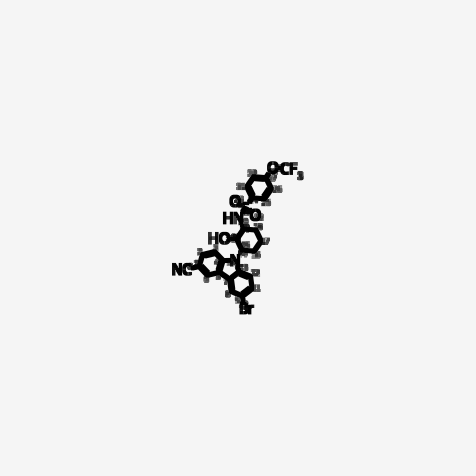 N#Cc1ccc2c(c1)c1cc(Br)ccc1n2[C@H]1CCC[C@@H](NS(=O)(=O)c2ccc(OC(F)(F)F)cc2)[C@@H]1O